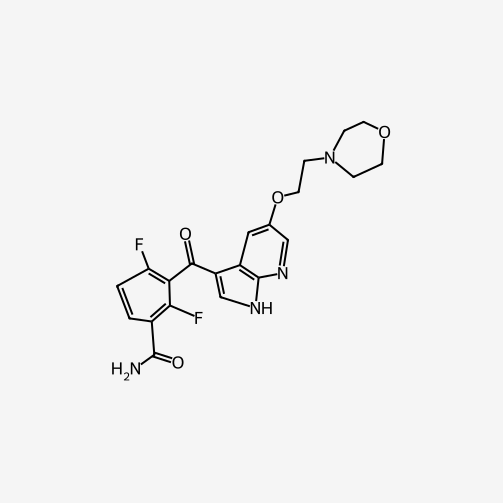 NC(=O)c1ccc(F)c(C(=O)c2c[nH]c3ncc(OCCN4CCOCC4)cc23)c1F